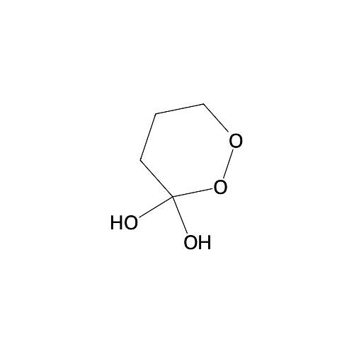 OC1(O)CCCOO1